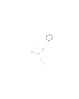 CC(C)C[C@@H]1CN(C(=O)OCc2ccccc2)[C@@H](CCCO)CN1C